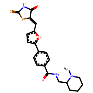 CN1CCCCC1CNC(=O)c1ccc(-c2ccc(/C=C3\SC(=S)NC3=O)o2)cc1